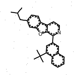 CC(C)Cc1ccc2c(c1)oc1c(-c3cc(C(C)(C)C)c4ccccc4c3)nccc12